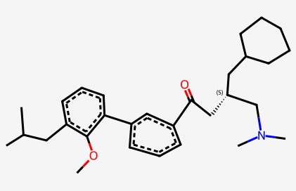 COc1c(CC(C)C)cccc1-c1cccc(C(=O)C[C@H](CC2CCCCC2)CN(C)C)c1